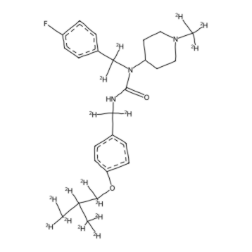 [2H]C([2H])(NC(=O)N(C1CCN(C([2H])([2H])[2H])CC1)C([2H])([2H])c1ccc(F)cc1)c1ccc(OC([2H])([2H])C([2H])(C([2H])([2H])[2H])C([2H])([2H])[2H])cc1